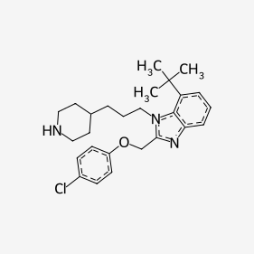 CC(C)(C)c1cccc2nc(COc3ccc(Cl)cc3)n(CCCC3CCNCC3)c12